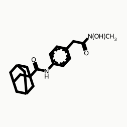 CN(O)C(=O)Cc1ccc(NC(=O)C23CC4CC(CC(C4)C2)C3)cc1